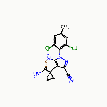 Cc1cc(Cl)c(-n2nc(C#N)c(C3(C(N)=S)CC3)c2N)c(Cl)c1